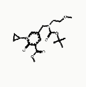 COCCN(Cc1cc(C(=O)OC)c(=O)n(C2CC2)c1)C(=O)OC(C)(C)C